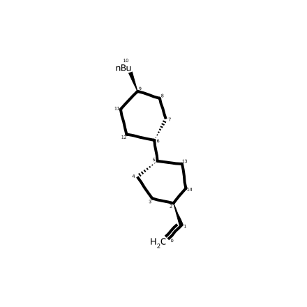 C=C[C@H]1CC[C@H]([C@H]2CC[C@H](CCCC)CC2)CC1